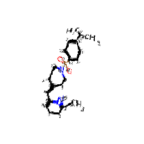 Cc1cccc(C=C2CCN(S(=O)(=O)c3ccc(C(C)C)cc3)CC2)n1